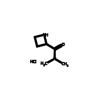 CN(C)C(=O)C1CCN1.Cl